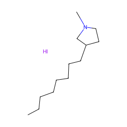 CCCCCCCCC1CCN(C)C1.I